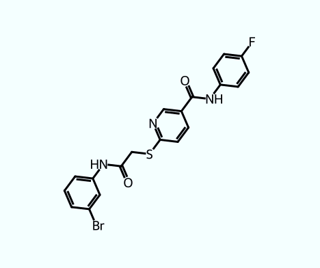 O=C(CSc1ccc(C(=O)Nc2ccc(F)cc2)cn1)Nc1cccc(Br)c1